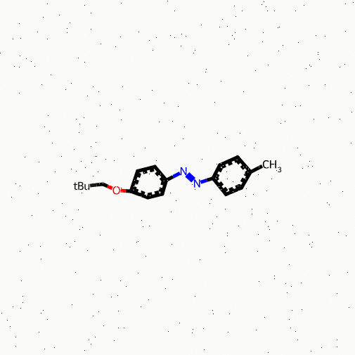 Cc1ccc(N=Nc2ccc(OCC(C)(C)C)cc2)cc1